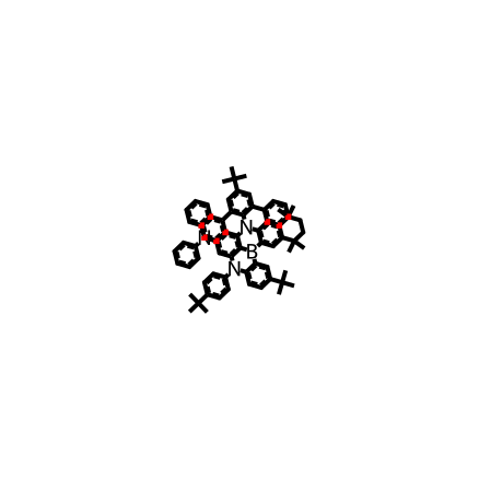 CC(C)(C)c1ccc(N2c3ccc(C(C)(C)C)cc3B3c4cc5c(cc4N(c4c(-c6ccccc6)cc(C(C)(C)C)cc4-c4ccccc4)c4cc(N(c6ccccc6)c6ccccc6)cc2c43)C(C)(C)CCC5(C)C)cc1